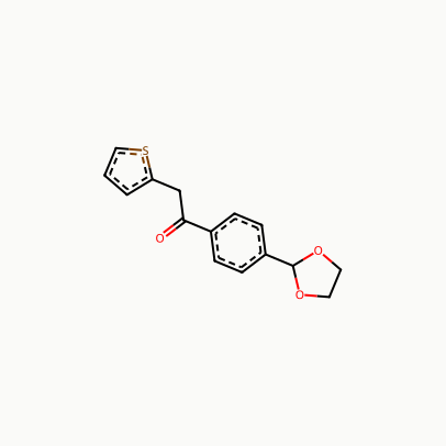 O=C(Cc1cccs1)c1ccc(C2OCCO2)cc1